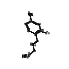 CCOC(=O)CNCc1ccc(C#N)cc1F